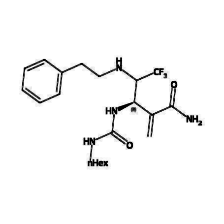 C=C(C(N)=O)[C@@H](NC(=O)NCCCCCC)C(NCCc1ccccc1)C(F)(F)F